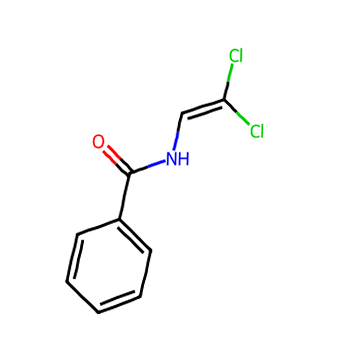 O=C(NC=C(Cl)Cl)c1ccccc1